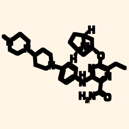 CCc1nc(C(N)=O)c(Nc2ccc(N3CCC(N4CCN(C)CC4)CC3)cc2)nc1O[C@H]1C[C@H]2CC[C@@H](C1)N2